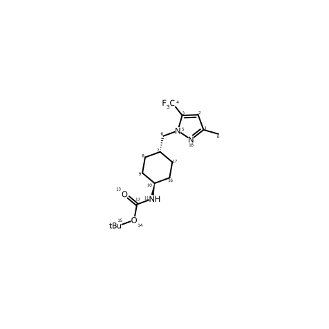 Cc1cc(C(F)(F)F)n(C[C@H]2CC[C@H](NC(=O)OC(C)(C)C)CC2)n1